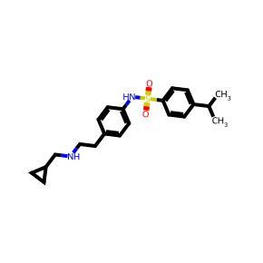 CC(C)c1ccc(S(=O)(=O)Nc2ccc(CCNCC3CC3)cc2)cc1